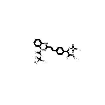 COC(=O)C(OS(C)(=O)=O)c1ccc(C=CC(=O)Nc2ccccc2NC(=O)OC(C)(C)C)cc1